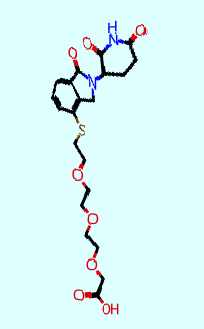 O=C(O)COCCOCCOCCSc1cccc2c1CN(C1CCC(=O)NC1=O)C2=O